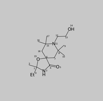 CCC1(C)NC(=O)C2(CC(C)(C)N(CCO)C(C)(C)C2)O1